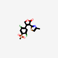 Cc1csc(C2=C(c3cc(F)c(S(C)(=O)=O)cc3F)COC2=O)n1